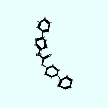 O=C(C[C@H]1CC[C@@H](c2ccccc2)CC1)Nc1ccc(-c2ccccc2)cc1